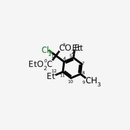 CCOC(=O)C(Cl)(C(=O)OCC)c1c(CC)cc(C)cc1CC